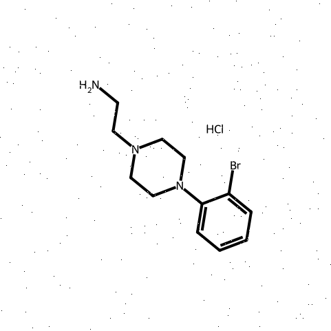 Cl.NCCN1CCN(c2ccccc2Br)CC1